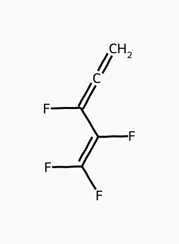 C=C=C(F)C(F)=C(F)F